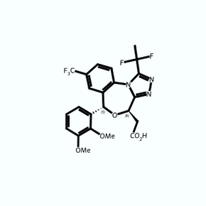 COc1cccc([C@H]2O[C@H](CC(=O)O)c3nnc(C(C)(F)F)n3-c3ccc(C(F)(F)F)cc32)c1OC